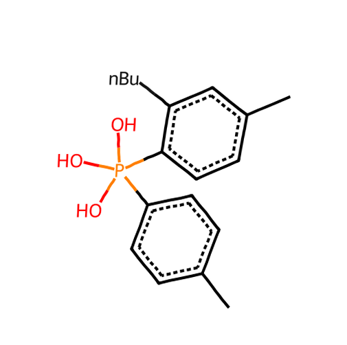 CCCCc1cc(C)ccc1P(O)(O)(O)c1ccc(C)cc1